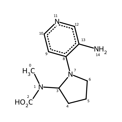 CN(C(=O)O)C1CCCN1c1ccncc1N